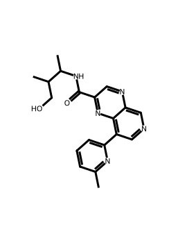 Cc1cccc(-c2cncc3ncc(C(=O)NC(C)C(C)CO)nc23)n1